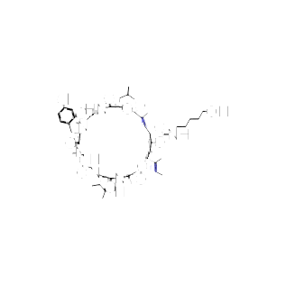 C/C=C(\C)[C@H]1OC(=O)[C@@H](C)NC(=O)[C@H](C(C)CC)NC(=O)CN(C)C(=O)[C@@H](Cc2ccc(Cl)cc2)N(C)C(=O)[C@H](C)NC(=O)[C@@H](CC(C)C)OC(=O)/C(C)=C/C[C@H](OC(=O)NCCCCCO)[C@@H]1C